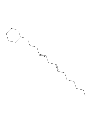 FCCCCCC=CCC=CCCOC1CCCCO1